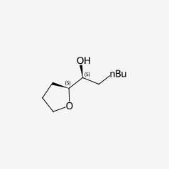 CCCCC[C@H](O)[C@@H]1CCCO1